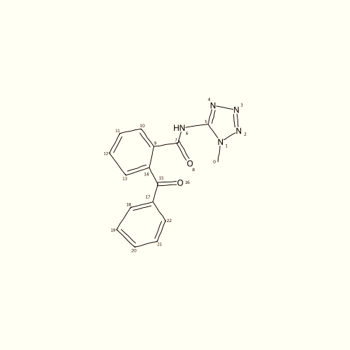 Cn1nnnc1NC(=O)c1ccccc1C(=O)c1ccccc1